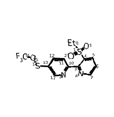 CCS(=O)(=O)c1cccnc1-c1ccc(SOC(F)(F)F)cn1